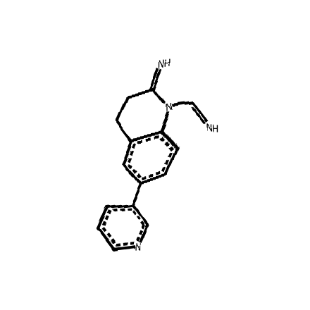 N=CN1C(=N)CCc2cc(-c3cccnc3)ccc21